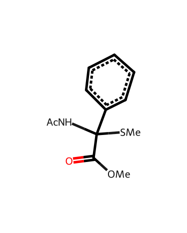 COC(=O)C(NC(C)=O)(SC)c1ccccc1